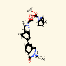 CN1Cc2cc(-c3ccc(C[C@@H](C#N)NC(=O)[C@]45CC[C@@H](CN4C(=O)OC(C)(C)C)C5)cc3)ccc2C1=O